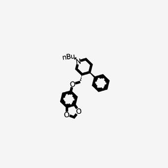 CCCCN1CC[C@@H](c2ccccc2)[C@H](COc2ccc3c(c2)OCO3)C1